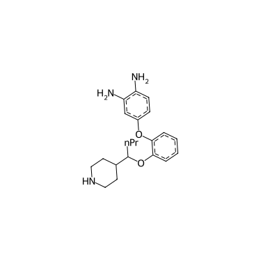 CCCC(Oc1ccccc1Oc1ccc(N)c(N)c1)C1CCNCC1